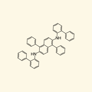 c1ccc(-c2ccccc2Nc2ccc3c(-c4ccccc4)c(Nc4ccccc4-c4ccccc4)ccc3c2-c2ccccc2)cc1